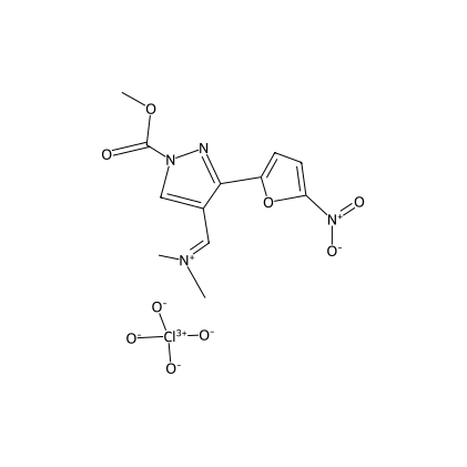 COC(=O)n1cc(C=[N+](C)C)c(-c2ccc([N+](=O)[O-])o2)n1.[O-][Cl+3]([O-])([O-])[O-]